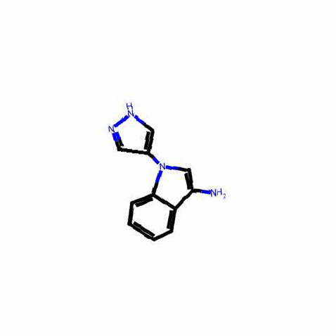 Nc1cn(-c2cn[nH]c2)c2ccccc12